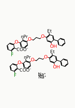 CCCc1c(OCCCOc2cc(O)c(-c3ccccc3)cc2CC)cccc1Oc1cccc(F)c1C(=O)[O-].CCCc1c(OCCCOc2cc(O)c(-c3ccccc3)cc2CC)cccc1Oc1cccc(F)c1C(=O)[O-].[Na+].[Na+]